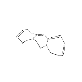 C1=CCC2CC3CC=CCC3=CC2=C1